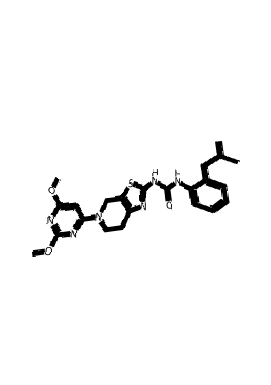 COc1cc(N2CCc3nc(NC(=O)Nc4ccccc4CC(C)C)sc3C2)nc(OC)n1